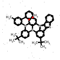 Cc1ccc(N2c3cc(C(C)(C)C)ccc3B3c4c2cc(C)cc4-n2c4c3cc(C(C)(C)C)cc4c3sc4ccccc4c32)c(-c2ccccc2)c1